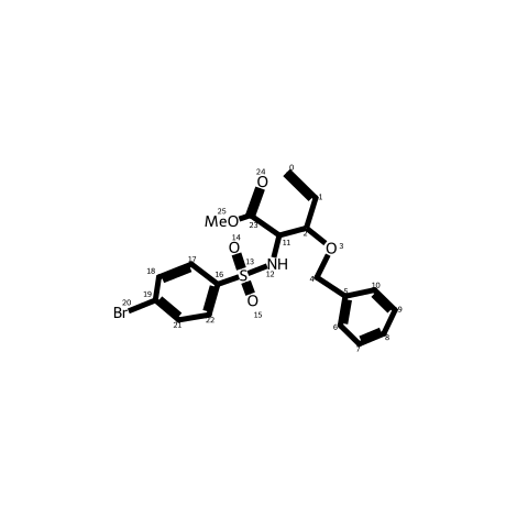 C=CC(OCc1ccccc1)C(NS(=O)(=O)c1ccc(Br)cc1)C(=O)OC